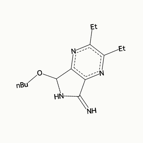 CCCCOC1NC(=N)c2nc(CC)c(CC)nc21